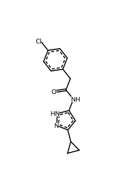 O=C(Cc1ccc(Cl)cc1)Nc1cc(C2CC2)n[nH]1